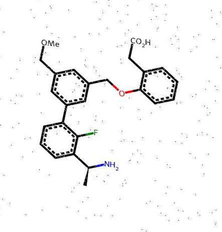 COCc1cc(COc2ccccc2CC(=O)O)cc(-c2cccc([C@H](C)N)c2F)c1